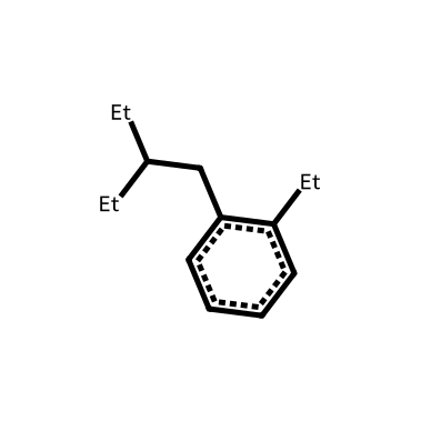 CCc1ccccc1CC(CC)CC